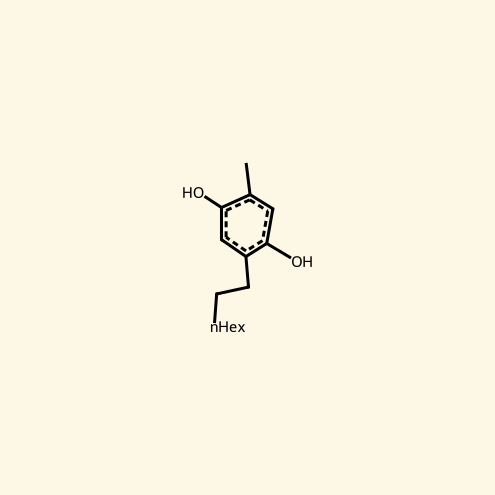 CCCCCCCCc1cc(O)c(C)cc1O